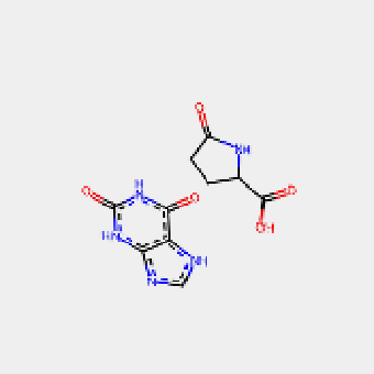 O=C1CCC(C(=O)O)N1.O=c1[nH]c(=O)c2[nH]cnc2[nH]1